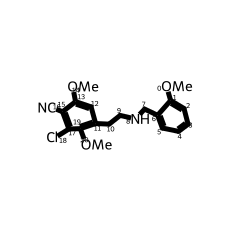 COc1ccccc1CNCCc1cc(OC)c(C#N)c(Cl)c1OC